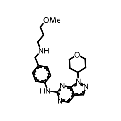 COCCCNCc1ccc(Nc2ncc3cnn(C4CCOCC4)c3n2)cc1